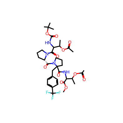 COC(=O)C(NC(=O)C1(Cc2ccc(C(F)(F)F)cc2)CCCN1C(=O)[C@@H]1CCCN1C(=O)C(NC(=O)OC(C)(C)C)C(C)OC(C)=O)C(C)OC(C)=O